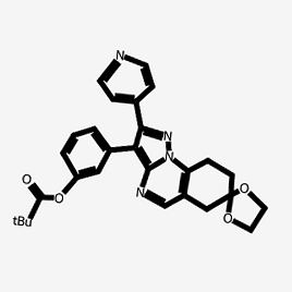 CC(C)(C)C(=O)Oc1cccc(-c2c(-c3ccncc3)nn3c4c(cnc23)CC2(CC4)OCCO2)c1